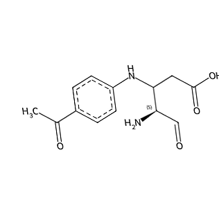 CC(=O)c1ccc(NC(CC(=O)O)[C@H](N)C=O)cc1